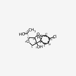 CC(O)[C@H]1O[CH][C@@](O)(c2ccc(Cl)cn2)[C@@H]1O